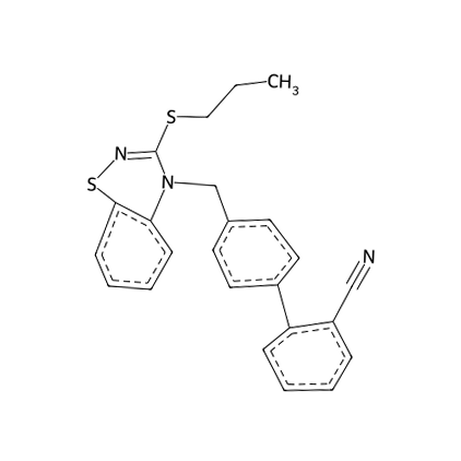 CCCSC1=NSc2ccccc2N1Cc1ccc(-c2ccccc2C#N)cc1